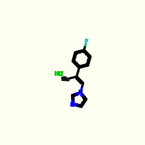 CC(C)(C)C(=Cn1ccnc1)c1ccc(F)cc1.Cl